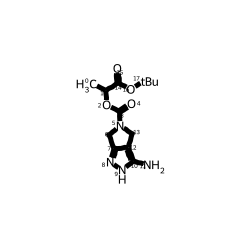 CC(OC(=O)N1Cc2n[nH]c(N)c2C1)C(=O)OC(C)(C)C